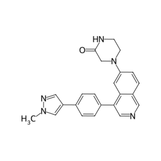 Cn1cc(-c2ccc(-c3cncc4ccc(N5CCNC(=O)C5)cc34)cc2)cn1